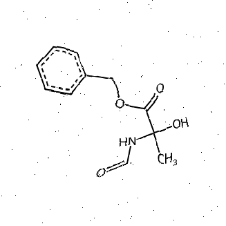 CC(O)(N[C]=O)C(=O)OCc1ccccc1